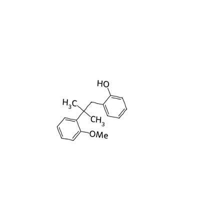 COc1ccccc1C(C)(C)Cc1ccccc1O